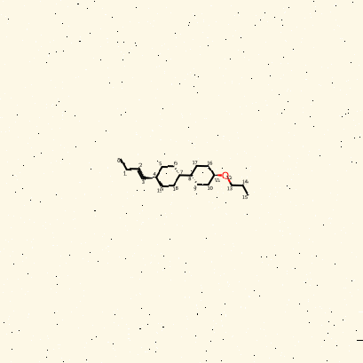 CCC=C[C@H]1CC[C@H]([C@H]2CC[C@H](OCCC)CC2)CC1